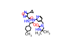 CC1CCC([C@H](NC(=O)c2nonc2C2CC2)C(=O)Nc2cc(CN3CC(C)(C)NC3=O)ccn2)CC1